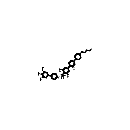 CCCCCC1CCC(c2ccc(-c3cc(F)c(C(F)(F)Oc4ccc(-c5cc(F)c(F)c(F)c5)cc4)c(F)c3)c(F)c2)CC1